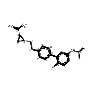 CC(C)Oc1ccc(F)c(-c2ccc(CC[C@H]3C[C@@H]3C(=O)O)cc2)c1